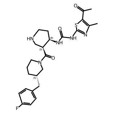 CC(=O)c1sc(NC(=O)N[C@@H]2CCNC[C@@H]2C(=O)N2CCC[C@@H](Cc3ccc(F)cc3)C2)nc1C